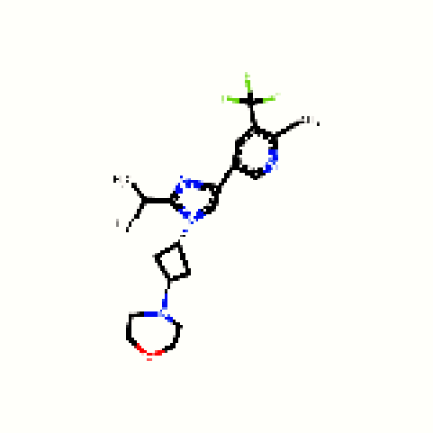 Cc1ncc(-c2cn([C@H]3C[C@H](N4CCOCC4)C3)c(C(C)C)n2)cc1C(F)(F)F